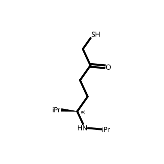 CC(C)N[C@H](CCC(=O)CS)C(C)C